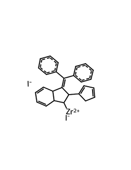 [I-].[I-].[Zr+2][CH]1C(C2=CC=CC2)C(=C(c2ccccc2)c2ccccc2)C2C=CC=CC21